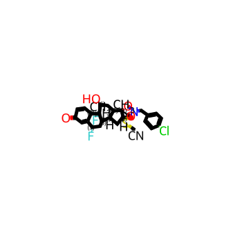 C[C@]12C=CC(=O)C=C1[C@@H](F)C[C@H]1[C@@H]3C[C@H]4CN(Cc5ccc(Cl)cc5)O[C@@]4(C(=O)SCC#N)[C@@]3(C)C[C@H](O)[C@@]12F